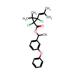 CC(C)=CC1(Cl)C(C)(C)C1(Cl)C(=O)OC(C#N)c1cccc(Oc2ccccc2)c1